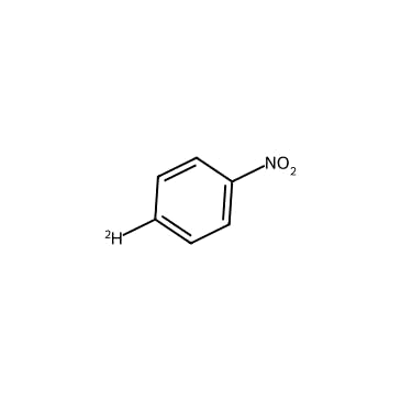 [2H]c1ccc([N+](=O)[O-])cc1